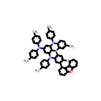 Cc1ccc(N(c2ccc(C)cc2)c2cc3c4c(c2)N(c2ccc(C)cc2)c2cc(-c5cccc6oc7ccccc7c56)c(C)cc2B4c2cc(C)ccc2N3c2ccc(C)cc2)cc1